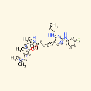 CCCNc1nc(Nc2cccc(F)c2)ncc1C#CCCC(=O)NC(C)(C)CN(C)C(=O)/C=C/CN(C)C